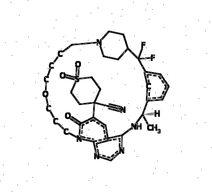 C[C@H]1Nc2ncnc3c2cc(C2(C#N)CCS(=O)(=O)CC2)c(=O)n3CCCOCCCCN2CCC(CC2)C(F)(F)c2cccc1c2